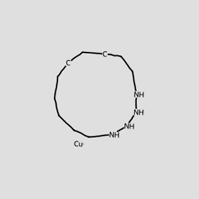 C1CCCCCNNNNCCCC1.[Cu]